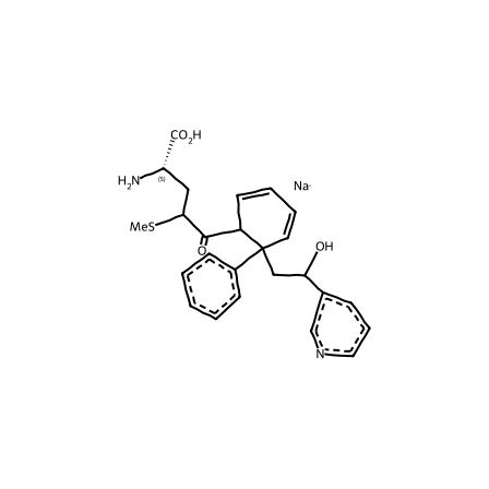 CSC(C[C@H](N)C(=O)O)C(=O)C1C=CC=CC1(CC(O)c1cccnc1)c1ccccc1.[Na]